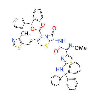 CON=C(C(=O)NC1C(=O)N2C(C(=O)OC(c3ccccc3)c3ccccc3)=C(C=Cc3scnc3C)CSC12)c1csc(NC(c2ccccc2)(c2ccccc2)c2ccccc2)n1